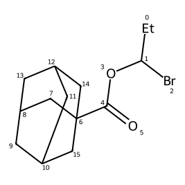 CCC(Br)OC(=O)C12CC3CC(CC(C3)C1)C2